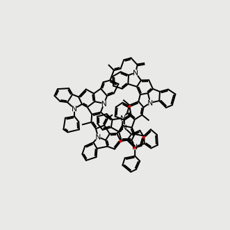 C=C(/C=C\C=C(/C)c1ccc2c(c1)c1cc3c4ccccc4n(-c4ccccc4)c3c3c4c(C)c5c(c(C)c4n2c13)c1c2c(cc3c4ccccc4n5c31)c1ccccc1n2-c1ccccc1)n1c2ccccc2c2c3c4c(C)c5c(c(C)c4n4c6ccccc6c(cc21)c34)c1c2c3ccccc3n(-c3ccccc3)c2cc2c3ccccc3n5c21